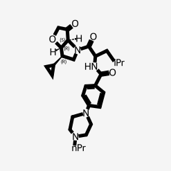 CCCN1CCN(c2ccc(C(=O)NC(CC(C)C)C(=O)N3C[C@@H](C4CC4)[C@H]4OCC(=O)[C@H]43)cc2)CC1